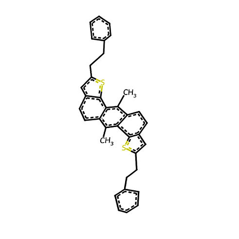 Cc1c2ccc3cc(CCc4ccccc4)sc3c2c(C)c2ccc3cc(CCc4ccccc4)sc3c12